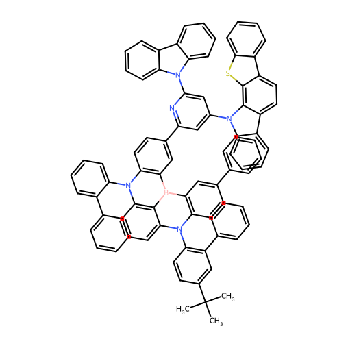 CC(C)(C)c1ccc(N2c3ccc(-c4ccccc4)cc3B3c4cc(-c5cc(-n6c7ccccc7c7ccc8c9ccccc9sc8c76)cc(-n6c7ccccc7c7ccccc76)n5)ccc4N(c4ccccc4-c4ccccc4)c4cccc2c43)c(-c2ccccc2)c1